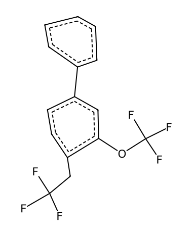 FC(F)(F)Cc1ccc(-c2ccccc2)cc1OC(F)(F)F